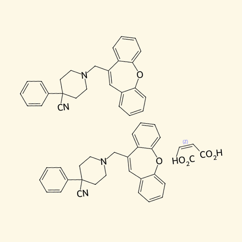 N#CC1(c2ccccc2)CCN(CC2=Cc3ccccc3Oc3ccccc32)CC1.N#CC1(c2ccccc2)CCN(CC2=Cc3ccccc3Oc3ccccc32)CC1.O=C(O)/C=C\C(=O)O